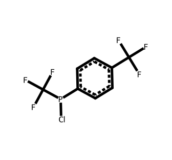 FC(F)(F)c1ccc(P(Cl)C(F)(F)F)cc1